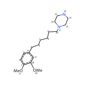 COc1ccc(CCCCCCN2CC[N]CC2)cc1OC